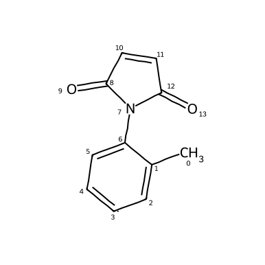 Cc1c[c]ccc1N1C(=O)C=CC1=O